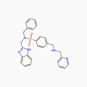 O=S(=O)(c1ccc(CNCc2ccccn2)cc1)N(Cc1ccccc1)Cc1nc2ccccc2[nH]1